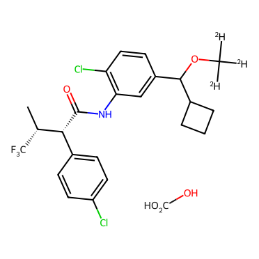 O=C(O)O.[2H]C([2H])([2H])OC(c1ccc(Cl)c(NC(=O)[C@H](c2ccc(Cl)cc2)[C@@H](C)C(F)(F)F)c1)C1CCC1